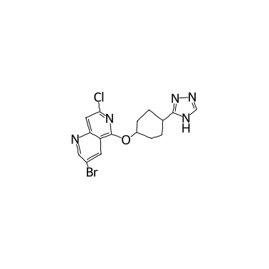 Clc1cc2ncc(Br)cc2c(OC2CCC(c3nnc[nH]3)CC2)n1